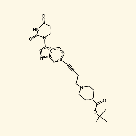 CC(C)(C)OC(=O)N1CCN(CCC#Cc2ccn3c(N4CCC(=O)NC4=O)cnc3c2)CC1